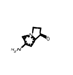 Nc1cc2n(c1)CCC2=O